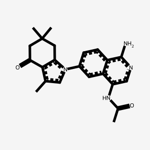 CC(=O)Nc1cnc(N)c2ccc(-n3cc(C)c4c3CC(C)(C)CC4=O)cc12